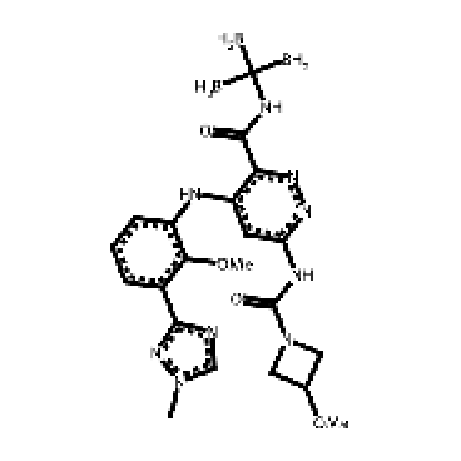 BC(B)(B)NC(=O)c1nnc(NC(=O)N2CC(OC)C2)cc1Nc1cccc(-c2ncn(C)n2)c1OC